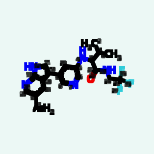 CC(C)C(Nc1cncc(-c2c[nH]c3ncc([AsH2])cc23)c1)C(=O)NCC(F)(F)F